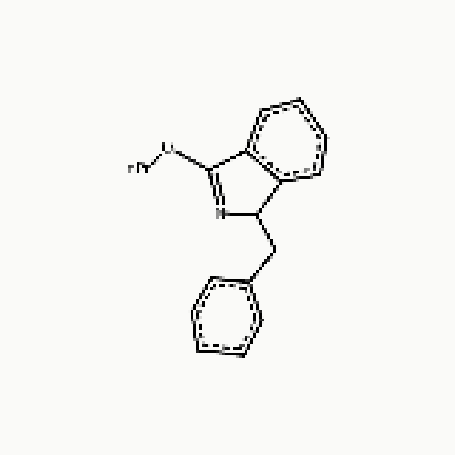 CCCOC1=NC(Cc2ccccc2)c2ccccc21